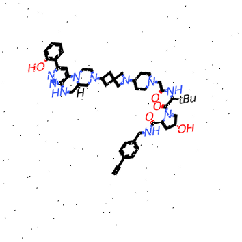 C#Cc1ccc(CNC(=O)[C@@H]2C[C@@H](O)CN2C(=O)[C@@H](NC(=O)CN2CCC(N3CC4(CC(N5CCN6c7cc(-c8ccccc8O)nnc7NC[C@H]6C5)C4)C3)CC2)C(C)(C)C)cc1